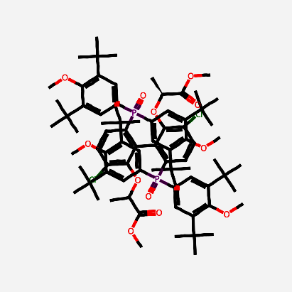 COC(=O)C(C)Oc1c(Cl)ccc(P(=O)(c2cc(C(C)(C)C)c(OC)c(C(C)(C)C)c2)c2cc(C(C)(C)C)c(OC)c(C(C)(C)C)c2)c1-c1c(P(=O)(c2cc(C(C)(C)C)c(OC)c(C(C)(C)C)c2)c2cc(C(C)(C)C)c(OC)c(C(C)(C)C)c2)ccc(Cl)c1O[C@@H](C)C(=O)OC